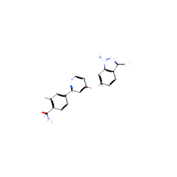 CCc1cc(-c2cc(Oc3ccc4c(C)nn(C)c4c3)ccn2)ccc1C(N)=O